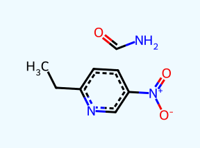 CCc1ccc([N+](=O)[O-])cn1.NC=O